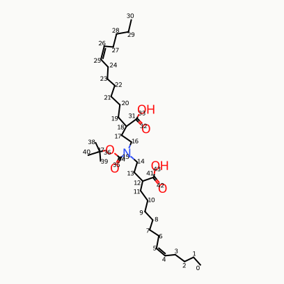 CCCC/C=C\CCCCCCC(CCN(CCC(CCCCCC/C=C\CCCC)C(=O)O)C(=O)OC(C)(C)C)C(=O)O